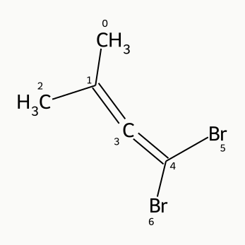 CC(C)=C=C(Br)Br